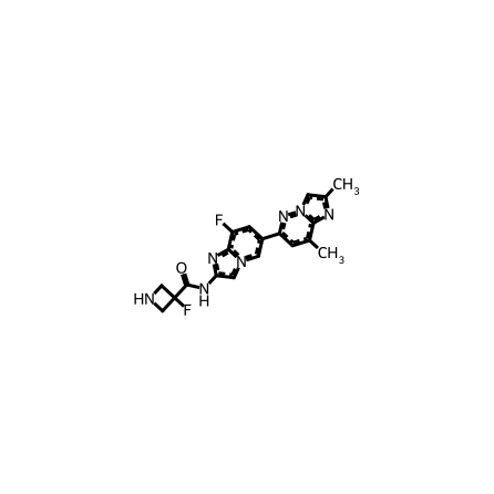 Cc1cn2nc(-c3cc(F)c4nc(NC(=O)C5(F)CNC5)cn4c3)cc(C)c2n1